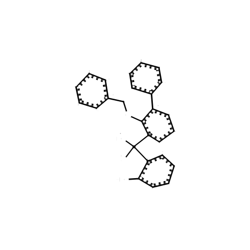 Cc1ccccc1C(C)(O)c1cccc(-c2ccccc2)c1OCc1ccccc1